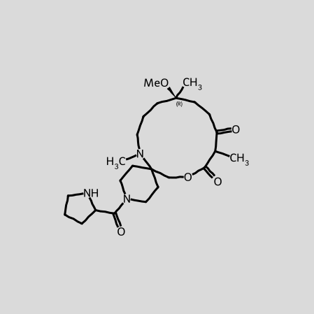 CO[C@]1(C)CCCN(C)C2(CCN(C(=O)C3CCCN3)CC2)COC(=O)C(C)C(=O)CC1